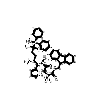 C[C@H](CCC(C)(C)[Si](O)(c1ccccc1)c1ccccc1)[C@@H](c1ccco1)N(C)C(=O)[C@@H](C)N(C)C(=O)OCC1c2ccccc2-c2ccccc21